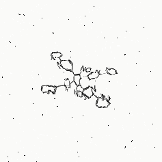 O=[N+]([O-])c1c(-c2ccc(-c3ccccn3)nc2)c(-c2ccc(-c3ccccn3)nc2)c([N+](=O)[O-])c(-c2ccc(-c3ccccn3)nc2)c1-c1ccc(-c2ccccn2)nc1